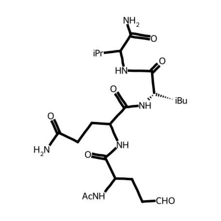 CC[C@@H](C)[C@H](NC(=O)C(CCC(N)=O)NC(=O)C(CCC=O)NC(C)=O)C(=O)NC(C(N)=O)C(C)C